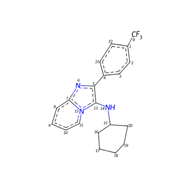 FC(F)(F)c1ccc(-c2nc3ccccn3c2NC2CCCCC2)cc1